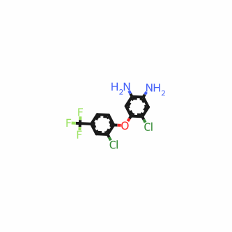 Nc1cc(Cl)c(Oc2ccc(C(F)(F)F)cc2Cl)cc1N